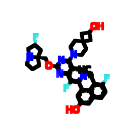 C#Cc1c(F)ccc2cc(O)cc(-c3ncc4c(N5CCC6(CC5)CC(O)C6)nc(OC[C@@]56CCCN5C[C@H](F)C6)nc4c3F)c12